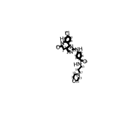 O=C1Cc2cnc(Nc3ccc(C(=O)NCCCN4CCOCC4)cc3)nc2-c2ccc(Cl)cc2N1